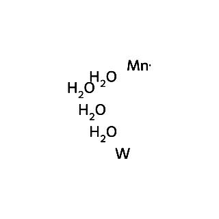 O.O.O.O.[Mn].[W]